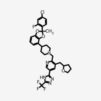 C[C@]1(c2ccc(Cl)cc2F)Oc2cccc(C3CCN(Cc4ncc(-c5nnc(C(F)(F)F)[nH]5)cc4CC4CCCO4)CC3)c2O1